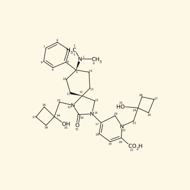 CN(C)[C@]1(c2ccccc2)CC[C@@]2(CC1)CN(C1=CC=C(C(=O)O)N(CC3(O)CCC3)C1)C(=O)N2CC1(O)CCC1